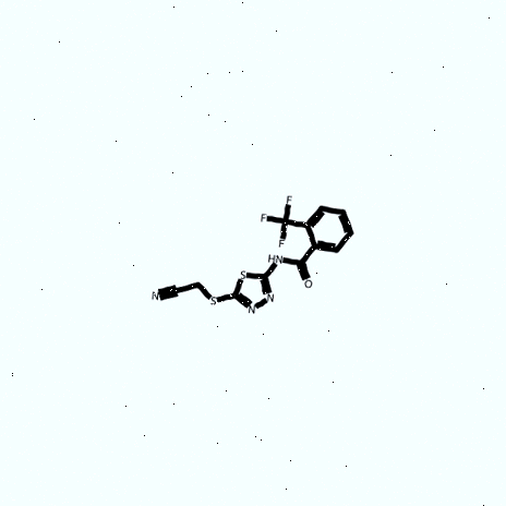 N#CCSc1nnc(NC(=O)c2ccccc2C(F)(F)F)s1